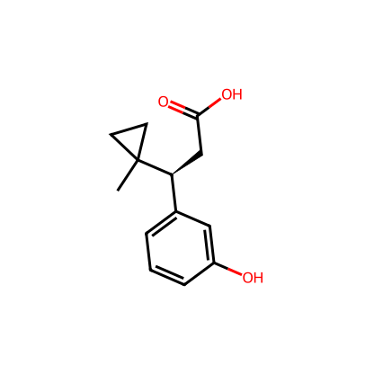 CC1([C@@H](CC(=O)O)c2cccc(O)c2)CC1